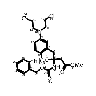 COC(=O)CC(C)(Cc1cc(N(CCCl)CCCl)ccc1C)NC(=O)OCc1ccccc1